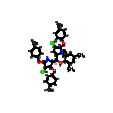 Cc1cc(C)c(O/C(=C2/N=C(Oc3ccc(C(C)(C)C)cc3)C(Cl)=C2Oc2ccc(C(C)(C)C)cc2)c2cc(Cl)c(Oc3ccc(C(C)(C)C)cc3)[nH]2)c(C)c1